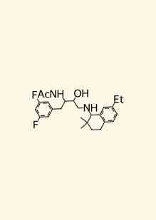 CCc1ccc2c(c1)C(NCC(O)C(Cc1cc(F)cc(F)c1)NC(C)=O)C(C)(C)CC2